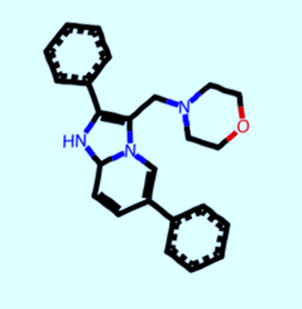 C1=CC2NC(c3ccccc3)=C(CN3CCOCC3)N2C=C1c1ccccc1